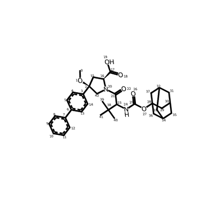 CO[C@@]1(c2ccc(-c3ccccc3)cc2)C[C@@H](C(=O)O)N(C(=O)C(NC(=O)OC23CC4CC(CC(C4)C2)C3)C(C)(C)C)C1